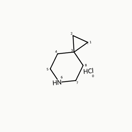 Cl.[CH]1CC12CCNCC2